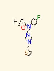 C=CC(=O)N(CCN1CCN(CCc2cccs2)CC1)c1ccc(F)cc1